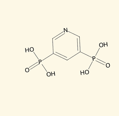 O=P(O)(O)c1cncc(P(=O)(O)O)c1